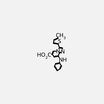 Cc1ccc(-c2cnc3c(Nc4ccccc4)cc(C(=O)O)cn23)s1